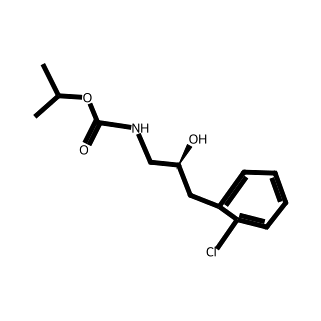 CC(C)OC(=O)NC[C@@H](O)Cc1ccccc1Cl